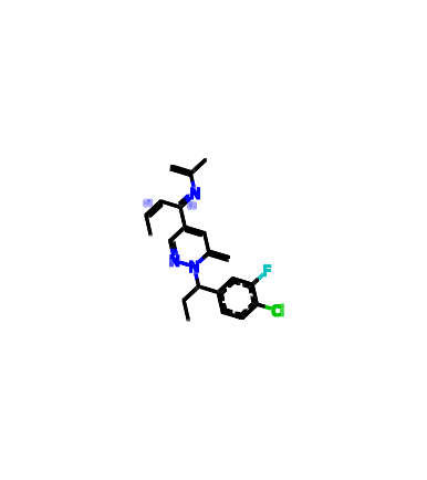 C=C(C)/N=C(\C=C/C)C1=CC(=C)N(C(CC)c2ccc(Cl)c(F)c2)N=C1